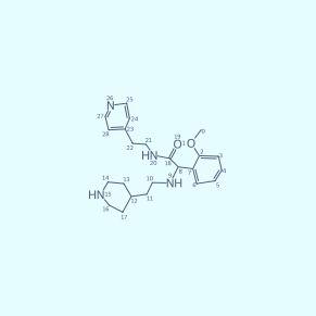 COc1ccccc1C(NCCC1CCNCC1)C(=O)NCCc1ccncc1